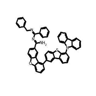 N/C(=N\C(=N/Cc1ccccc1)c1ccccc1)c1ccc2oc3cccc(-c4ccc5sc6c(-n7c8ccccc8c8ccccc87)cccc6c5c4)c3c2c1